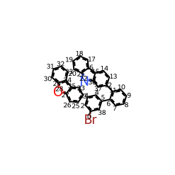 Brc1cccc(-c2ccccc2-c2ccc3c4ccccc4n(-c4cccc5oc6ccccc6c45)c3c2)c1